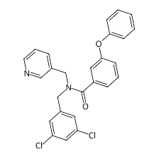 O=C(c1cccc(Oc2ccccc2)c1)N(Cc1cccnc1)Cc1cc(Cl)cc(Cl)c1